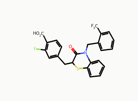 O=C(O)c1ccc(CC2Sc3ccccc3N(Cc3ccccc3C(F)(F)F)C2=O)cc1F